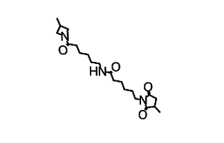 CC1CN(C(=O)CCCCCNC(=O)CCCCCN2C(=O)CC(C)C2=O)C1